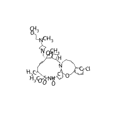 COCCN(C)C1CN(C[C@@]2(OC)/C=C/C[C@H](C)[C@@H](C)S(=O)(=O)NC(=O)c3ccc4c(c3)N(CCCCc3cc(Cl)ccc3CO4)C[C@@H]3CC[C@H]32)C1